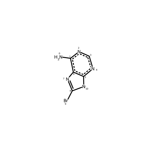 Nc1ncnc2c1N=C(Br)[N]2